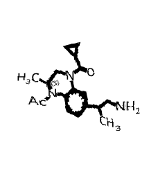 CC(=O)N1c2ccc(C(C)CN)cc2N(C(=O)C2CC2)C[C@@H]1C